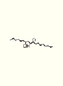 CCCCCCCCC(=O)CCC(O)CCCCCC